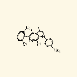 CCc1cccc(CC)c1-c1nc(Cl)c2c(c(C)cn2-c2ccc(C(C)(C)C)cc2)c1C